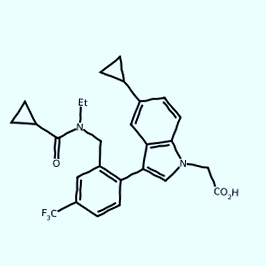 CCN(Cc1cc(C(F)(F)F)ccc1-c1cn(CC(=O)O)c2ccc(C3CC3)cc12)C(=O)C1CC1